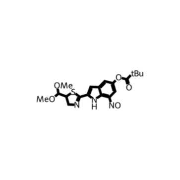 COC(OC)C1CN=C(c2cc3cc(OC(=O)C(C)(C)C)cc(N=O)c3[nH]2)S1